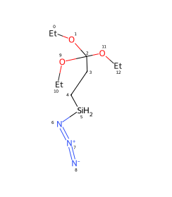 CCOC(CC[SiH2]N=[N+]=[N-])(OCC)OCC